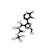 CCn1nc(-c2ccnc(Cl)c2F)c(C(C)N(C)C(=O)OC(C)(C)C)n1